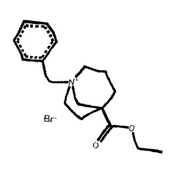 CCOC(=O)C12CCC[N+](Cc3ccccc3)(CC1)C2.[Br-]